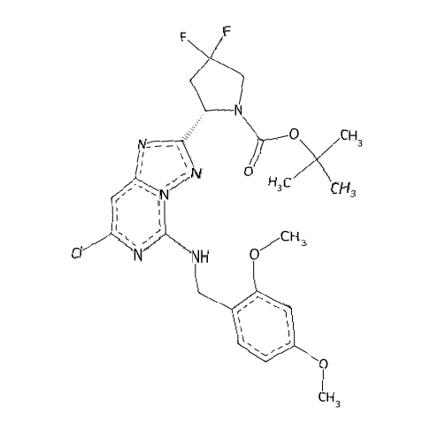 COc1ccc(CNc2nc(Cl)cc3nc([C@@H]4CC(F)(F)CN4C(=O)OC(C)(C)C)nn23)c(OC)c1